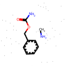 CN.NC(=O)OCc1ccccc1